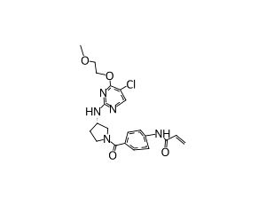 C=CC(=O)Nc1ccc(C(=O)N2CC[C@H](Nc3ncc(Cl)c(OCCOC)n3)C2)cc1